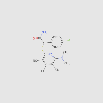 CCc1c(C#N)c(SC(C(N)=O)c2ccc(F)cc2)nc(N(C)C)c1C#N